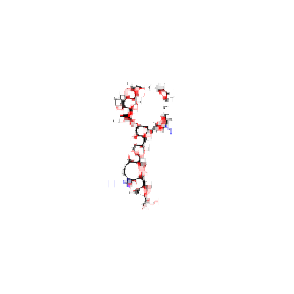 C=C1C[C@@H]2CC[C@@]34C[C@H]5O[C@H]6[C@@H](O3)[C@H]3O[C@H](CC[C@@H]3O[C@H]6C5O4)CC(=O)O[C@@H]3CC4OC5C[C@]6(C[C@@H]7OO[C@H]8C[C@H]9O[C@H]([C@@H](O)CO)C[C@H]9O[C@H]8[C@@H](N)CCC[C@@H]7O6)O[C@@H]5C[C@@H]4O[C@H]3C[C@H]3O[C@@H](CC[C@@H]1O2)C[C@@H](N)C3=C